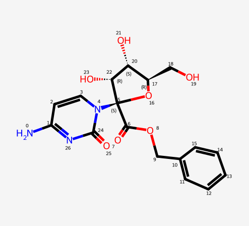 Nc1ccn([C@]2(C(=O)OCc3ccccc3)O[C@H](CO)[C@@H](O)[C@H]2O)c(=O)n1